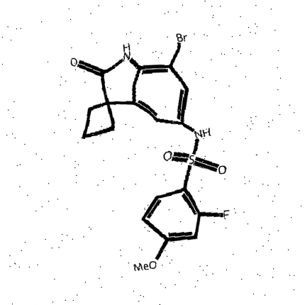 COc1ccc(S(=O)(=O)Nc2cc(Br)c3c(c2)C2(CCC2)C(=O)N3)c(F)c1